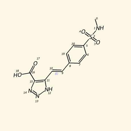 CNS(=O)(=O)c1ccc(/C=C/c2[nH]nnc2C(=O)O)cc1